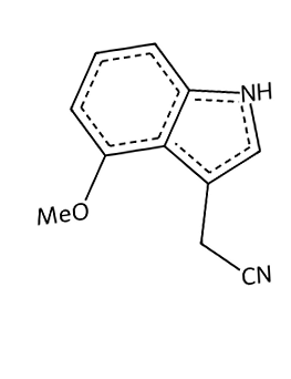 COc1cccc2[nH]cc(CC#N)c12